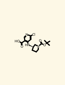 CC(C)(C)OC(=O)N1CCC[C@@H](Nc2cc(Cl)ncc2C(=O)O)C1